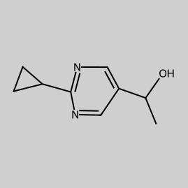 CC(O)c1cnc(C2CC2)nc1